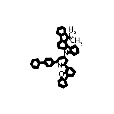 CC1(C)c2ccccc2-c2ccc3c(c21)c1ccccc1n3-c1cc(-c2ccc(-c3ccccc3)cc2)nc(-c2cccc3c2oc2ccccc23)c1